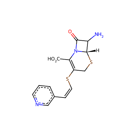 NC1C(=O)N2C(C(=O)O)=C(S/C=C\c3cccnc3)CS[C@@H]12